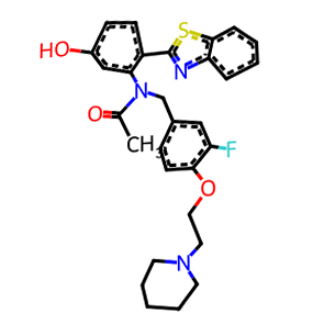 CC(=O)N(Cc1ccc(OCCN2CCCCC2)c(F)c1)c1cc(O)ccc1-c1nc2ccccc2s1